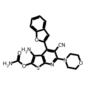 N#Cc1c(N2CCOCC2)nc2sc(OC(N)=O)c(N)c2c1-c1cc2ccccc2o1